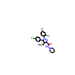 N#CCc1c(C(=O)NN2CCCCC2)nn(-c2ccc(Cl)cc2Cl)c1-c1ccc(Cl)cc1